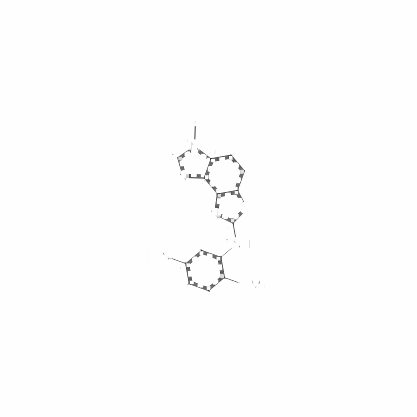 COc1ccc(N)cc1Nc1nc2c(ccc3c2ncn3C)s1